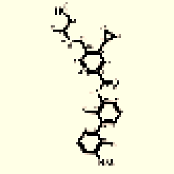 CNc1cccc(-c2cccc(NC(=O)c3cc(C4CC4)c(CN[C@@H](C)CO)cn3)c2C)c1C